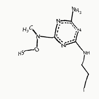 CN(OS)c1nc(N)nc(NCCI)n1